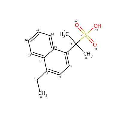 CCc1ccc(C(C)(C)S(=O)(=O)O)c2ccccc12